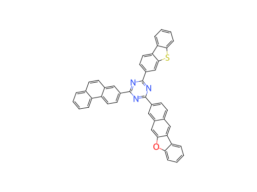 c1ccc2c(c1)ccc1cc(-c3nc(-c4ccc5cc6c(cc5c4)oc4ccccc46)nc(-c4ccc5c(c4)sc4ccccc45)n3)ccc12